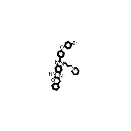 O=c1[nH]c2cc3nc(-c4ccc(Oc5ccc(Br)cc5)cc4)n(CCCN4CCCCC4)c3cc2nc1Cc1ccccc1